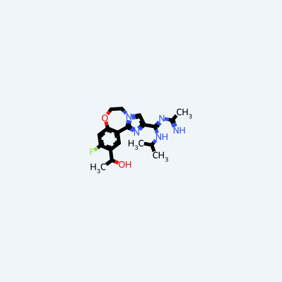 CC(=N)/N=C(\NC(C)C)c1cn2c(n1)-c1cc(C(C)O)c(F)cc1OCC2